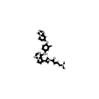 Cc1cc(Nc2ncnn3ccc(C4CN(C(=O)/C=C/CN(C)C)C4)c23)ccc1Oc1ccn2cnnc2c1